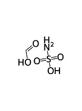 NS(=O)(=O)O.O=CO